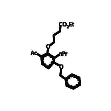 CCCc1c(OCc2ccccc2)ccc(C(C)=O)c1OCCCC(=O)OCC